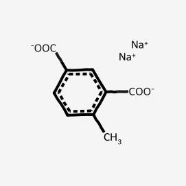 Cc1ccc(C(=O)[O-])cc1C(=O)[O-].[Na+].[Na+]